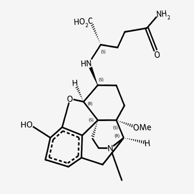 CO[C@@]12CC[C@H](N[C@@H](CCC(N)=O)C(=O)O)[C@@H]3Oc4c(O)ccc5c4[C@@]31CCN(C)[C@@H]2C5